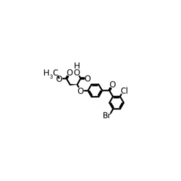 COC(=O)C[C@H](Oc1ccc(C(=O)c2cc(Br)ccc2Cl)cc1)C(=O)O